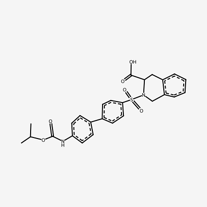 CC(C)OC(=O)Nc1ccc(-c2ccc(S(=O)(=O)N3Cc4ccccc4CC3C(=O)O)cc2)cc1